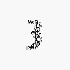 COc1cccc(CN2CCn3c(cc4cc(OC5CCN(C(C)C)CC5)ccc43)C2=O)c1